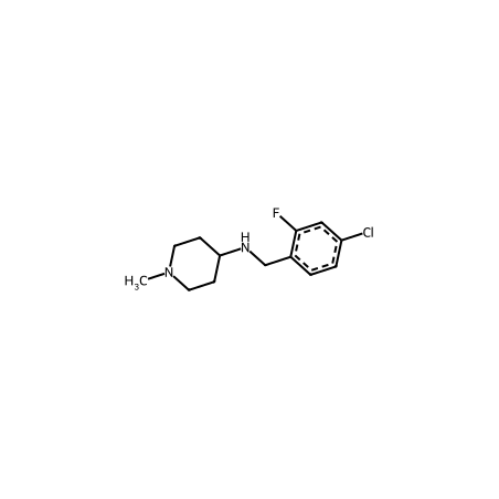 CN1CCC(NCc2ccc(Cl)cc2F)CC1